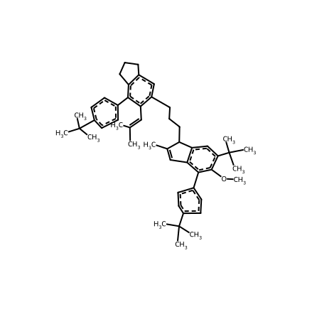 COc1c(C(C)(C)C)cc2c(c1-c1ccc(C(C)(C)C)cc1)C=C(C)C2CCCc1cc2c(c(-c3ccc(C(C)(C)C)cc3)c1C=C(C)C)CCC2